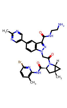 Cc1ncc(-c2ccc3c(c2)c(C(=O)NCCN)nn3CC(=O)N2[C@H](C(=O)Nc3nc(Br)ccc3C)C[C@@]3(C)C[C@@H]23)cn1